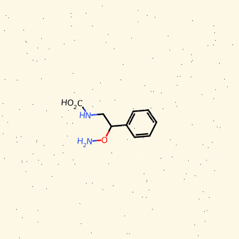 NOC(CNC(=O)O)c1ccccc1